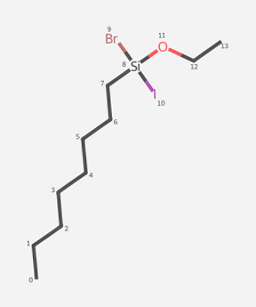 CCCCCCCC[Si](Br)(I)OCC